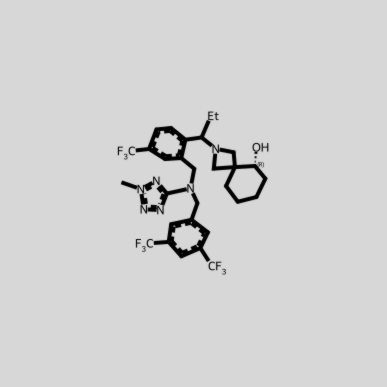 CCC(c1ccc(C(F)(F)F)cc1CN(Cc1cc(C(F)(F)F)cc(C(F)(F)F)c1)c1nnn(C)n1)N1CC2(CCCC[C@H]2O)C1